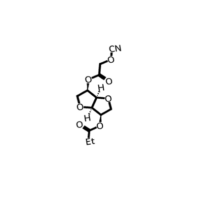 CCC(=O)O[C@@H]1CO[C@H]2[C@@H]1OC[C@H]2OC(=O)COC#N